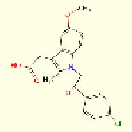 COc1ccc2c(c1)c(CC(=O)O)c(C)n2CC(=O)c1ccc(Cl)cc1